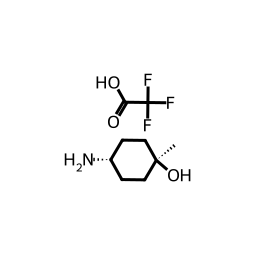 C[C@]1(O)CC[C@H](N)CC1.O=C(O)C(F)(F)F